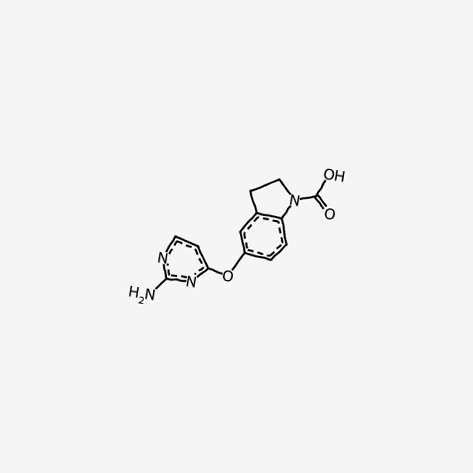 Nc1nccc(Oc2ccc3c(c2)CCN3C(=O)O)n1